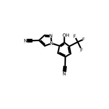 N#Cc1cc(-n2cc(C#N)cn2)c(O)c(C(F)(F)F)c1